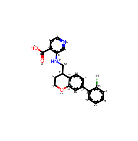 O=C(O)c1ccncc1NCC1CCOc2cc(-c3ccccc3F)ccc21